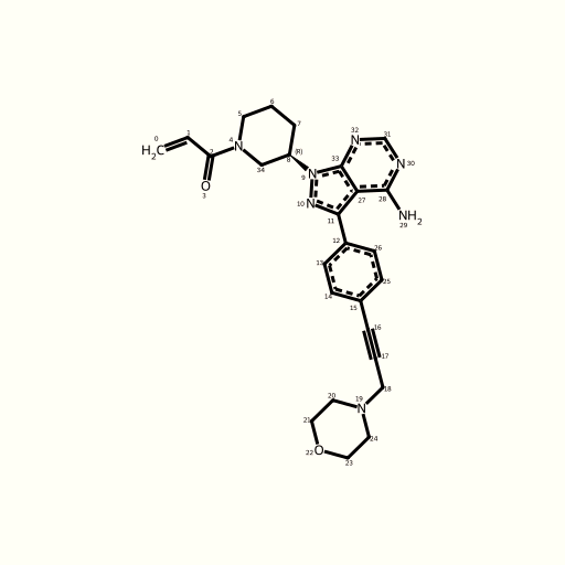 C=CC(=O)N1CCC[C@@H](n2nc(-c3ccc(C#CCN4CCOCC4)cc3)c3c(N)ncnc32)C1